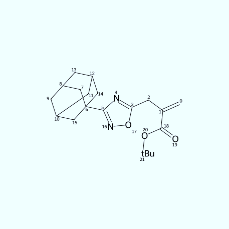 C=C(Cc1nc(C23CC4CC(CC(C4)C2)C3)no1)C(=O)OC(C)(C)C